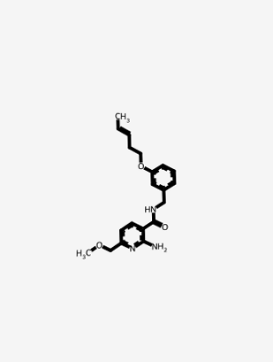 CC=CCCOc1cccc(CNC(=O)c2ccc(COC)nc2N)c1